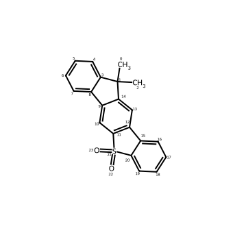 CC1(C)c2ccccc2-c2cc3c(cc21)-c1ccccc1S3(=O)=O